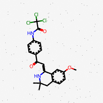 COc1ccc2c(c1)/C(=C/C(=O)c1ccc(NC(=O)C(Cl)(Cl)Cl)cc1)NC(C)(C)C2